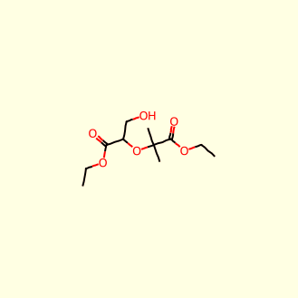 CCOC(=O)C(CO)OC(C)(C)C(=O)OCC